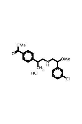 COC(=O)c1ccc(C(C)CNCC(OC)c2cccc(Cl)c2)cc1.Cl